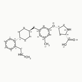 CNCc1ccccc1[C@H]1CC[C@H](Cc2cc(C)cc(O[C@@H]3CN[C@H](C(=O)O)C3)c2)CC1